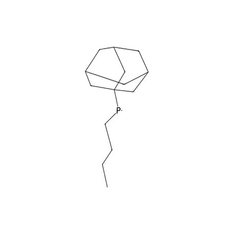 CCCC[P]C12CC3CC(CC(C3)C1)C2